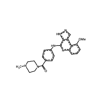 COc1cccc2nc(Nc3ccc(C(=O)N4CCN(C)CC4)cc3)c3[nH]ncc3c12